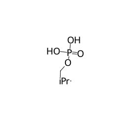 C[C](C)COP(=O)(O)O